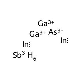 [As-3].[Ga+3].[Ga+3].[In].[In].[SbH6-3]